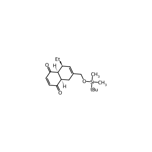 CC[C@H]1C=C(CO[Si](C)(C)C(C)(C)C)C[C@H]2C(=O)C=CC(=O)[C@@H]12